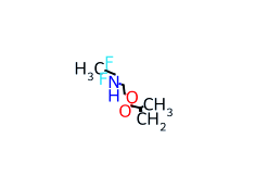 C=C(C)C(=O)OCCNCC(C)(F)F